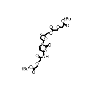 CC(C)(C)OC(=O)COCC(=O)Nc1ccn(C2CSC(COC(=O)COCC(=O)OC(C)(C)C)O2)c(=O)n1